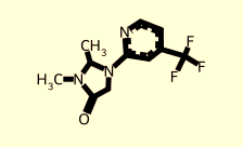 CC1N(C)C(=O)CN1c1cc(C(F)(F)F)ccn1